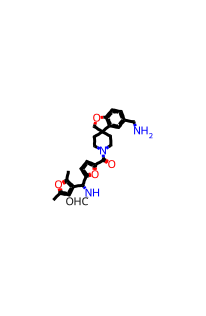 Cc1cc(C(NC=O)c2ccc(C(=O)N3CCC4(CC3)COc3ccc(CN)cc34)o2)c(C)o1